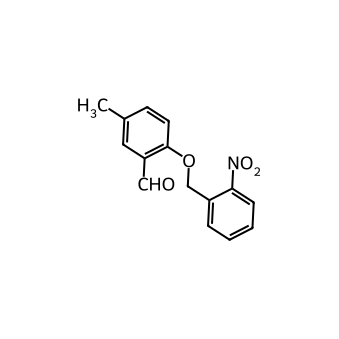 Cc1ccc(OCc2ccccc2[N+](=O)[O-])c(C=O)c1